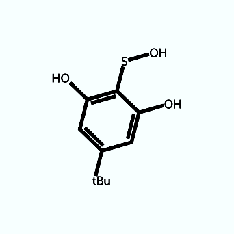 CC(C)(C)c1cc(O)c(SO)c(O)c1